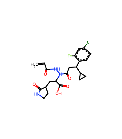 C=CC(=O)NN(C(=O)CC(c1ccc(Cl)cc1F)C1CC1)C(CC1CCNC1=O)C(=O)O